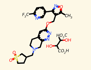 Cc1onc(-c2ccc(C(F)(F)F)nc2)c1COc1cc2c(nn1)CN(CC1CCS(=O)(=O)C1)CC2.O=C(O)C(O)C(O)C(=O)O